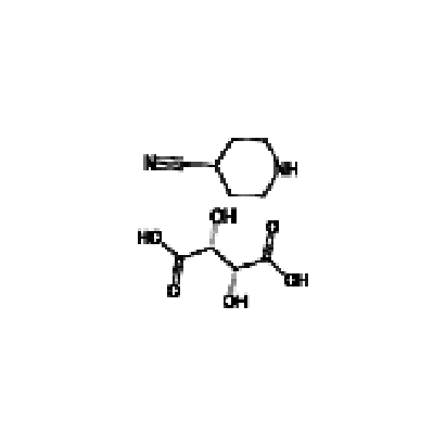 N#CC1CCNCC1.O=C(O)[C@H](O)[C@@H](O)C(=O)O